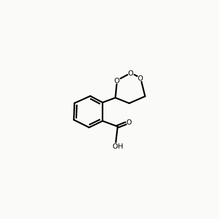 O=C(O)c1ccccc1C1CCOOO1